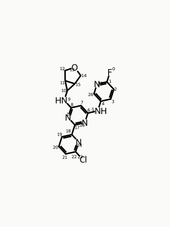 Fc1ccc(Nc2cc(NC3C4COCC43)nc(-c3cccc(Cl)n3)n2)cn1